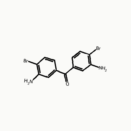 Nc1cc(C(=O)c2ccc(Br)c(N)c2)ccc1Br